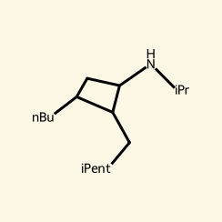 CCCCC1CC(NC(C)C)C1CC(C)CCC